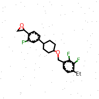 CCc1ccc(COC2CCC(c3ccc(C4CO4)c(F)c3)CC2)c(F)c1F